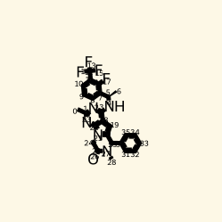 Cc1nc(N[C@H](C)c2cccc(C(F)(F)F)c2F)c2cc3n(c2n1)CC(=O)N(C)C3c1ccccc1